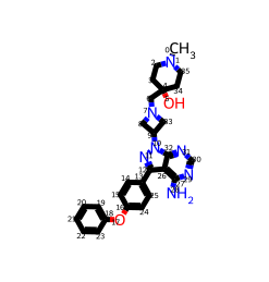 CN1CCC(O)(CN2CC(n3nc(-c4ccc(Oc5ccccc5)cc4)c4c(N)ncnc43)C2)CC1